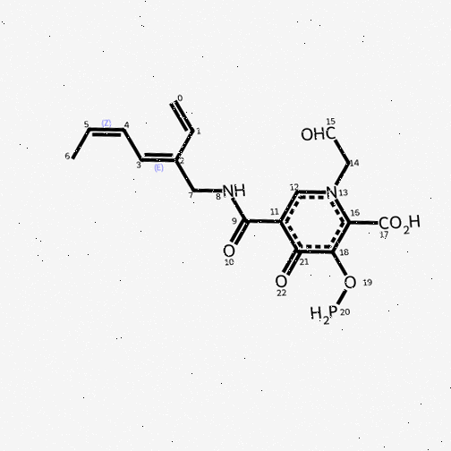 C=C/C(=C\C=C/C)CNC(=O)c1cn(CC=O)c(C(=O)O)c(OP)c1=O